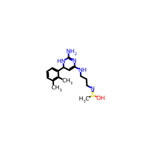 Cc1cccc(C2C=C(NCCC/N=S(\C)O)N=C(N)N2)c1C